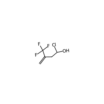 C=C(CC(O)Cl)C(F)(F)F